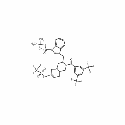 CC(C)(C)OC(=O)n1cc(CC2CN3CC(OS(=O)(=O)C(F)(F)F)=CCC3CN2C(=O)c2cc(C(F)(F)F)cc(C(F)(F)F)c2)c2ccccc21